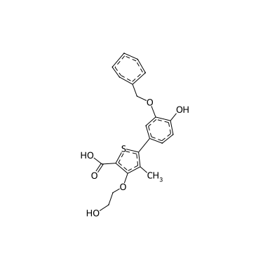 Cc1c(-c2ccc(O)c(OCc3ccccc3)c2)sc(C(=O)O)c1OCCO